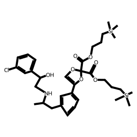 CC(Cc1cccc(C2=COC(C(=O)OCCC[Si](C)(C)C)(C(=O)OCCC[Si](C)(C)C)O2)c1)NCC(O)c1cccc(Cl)c1